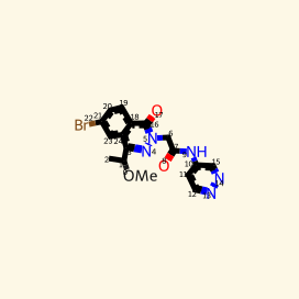 COC(C)c1nn(CC(=O)Nc2ccnnc2)c(=O)c2ccc(Br)cc12